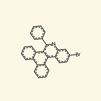 Brc1ccc2c(c1)nc(-c1ccccc1)c1c3ccccc3c3ccccc3c21